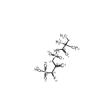 CCC(C)(C)C(=O)NS(=O)(=O)CC(=O)C(F)S(=O)(=O)O